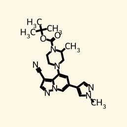 CC1CN(c2cc(-c3cnn(C)c3)cn3ncc(C#N)c23)CCN1C(=O)OC(C)(C)C